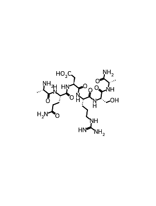 C[C@H](N)C(=O)N[C@@H](CCC(N)=O)C(=O)N[C@@H](CC(=O)O)C(=O)N[C@@H](CCCNC(=N)N)C(=O)N[C@@H](CO)C(=O)N[C@@H](C)C(N)=O